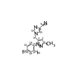 Cc1cc(Cn2cnc(C#N)c2)n(-c2ccc(F)cc2I)n1